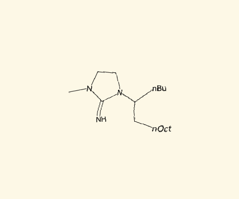 CCCCCCCCCC(CCCC)N1CCN(C)C1=N